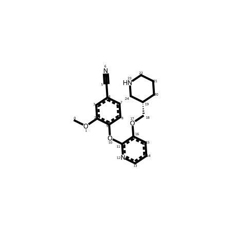 COc1cc(C#N)ccc1Oc1ncccc1OC[C@H]1CCCNC1